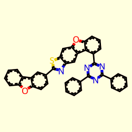 c1ccc(-c2nc(-c3ccccc3)nc(-c3cccc4oc5cc6sc(-c7ccc8oc9ccccc9c8c7)nc6cc5c34)n2)cc1